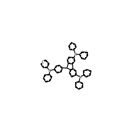 c1ccc(N(c2ccccc2)c2ccc(C3c4ccc(N(c5ccccc5)c5ccccc5)cc4-c4cc(N(c5ccccc5)c5ccccc5)ccc43)cc2)cc1